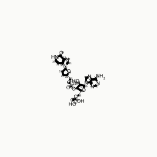 Nc1ncnc2c1ncn2[C@@H]1O[C@H](COP(=O)(O)O)[C@@H](OP(=O)(O)OC[C@@H]2CC[C@H](n3cnc4c(=O)[nH]ccc43)O2)[C@H]1O